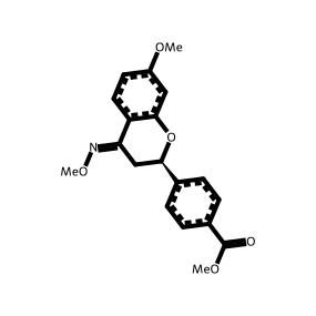 CON=C1C[C@H](c2ccc(C(=O)OC)cc2)Oc2cc(OC)ccc21